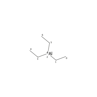 C[CH2][4Al]([CH2]C)[CH2]C